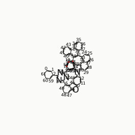 C1=CC(c2nc(C3=c4c(oc5ccc(-n6c7cccc8c7c7c9c(cccc9ccc76)C(c6ccccc6)=C8c6ccccc6)cc45)=CCC3)nc(-c3ccccc3)n2)=CCC1